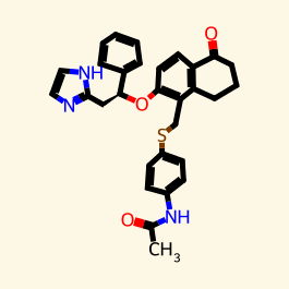 CC(=O)Nc1ccc(SCc2c(O[C@@H](Cc3ncc[nH]3)c3ccccc3)ccc3c2CCCC3=O)cc1